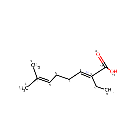 CC/C(=C\CCC=C(C)C)C(=O)O